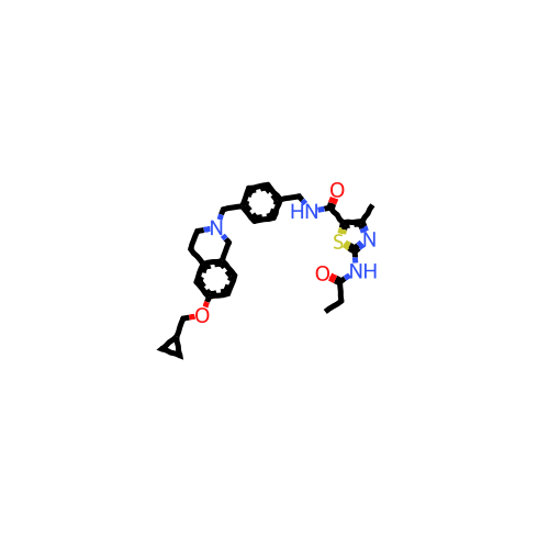 CCC(=O)Nc1nc(C)c(C(=O)NCc2ccc(CN3CCc4cc(OCC5CC5)ccc4C3)cc2)s1